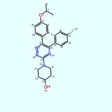 CC(C)Oc1ccc(-c2nnc(N3CCC(O)CC3)nc2-c2ccc(F)cc2)cc1